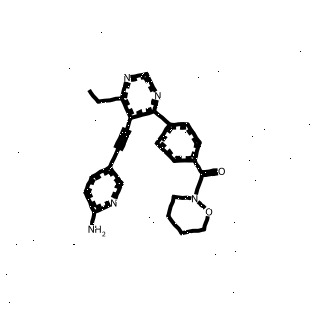 CCc1ncnc(-c2ccc(C(=O)N3CCCCO3)cc2)c1C#Cc1ccc(N)nc1